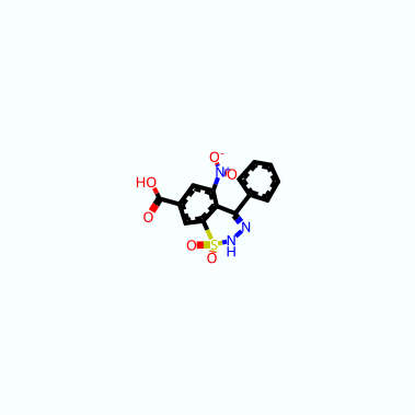 O=C(O)c1cc([N+](=O)[O-])c2c(c1)S(=O)(=O)NN=C2c1ccccc1